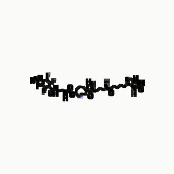 CC1(C(=O)NCCCNC(=O)CCCCC2SC[C@H]3NC(=O)NC23)C/C=C/C(OC(=O)NCCNC(=O)c2c(F)c(F)c(N=[N+]=[N-])c(F)c2F)CCC1